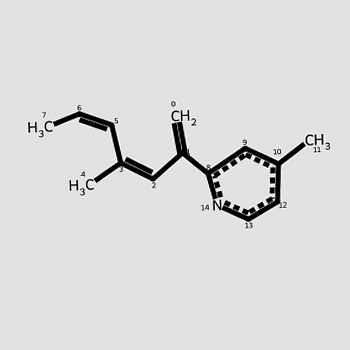 C=C(/C=C(C)\C=C/C)c1cc(C)ccn1